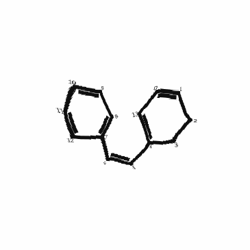 C1=CCCC(/C=C\c2ccccc2)=C1